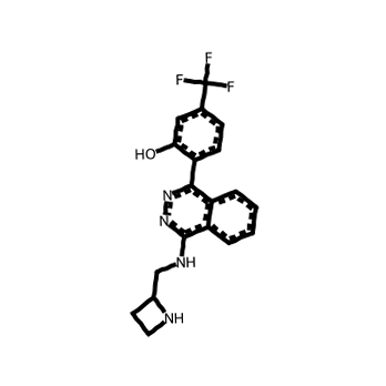 Oc1cc(C(F)(F)F)ccc1-c1nnc(NCC2CCN2)c2ccccc12